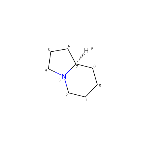 C1CCN2CCC[C@H]2C1